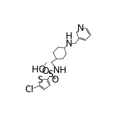 O=S(=O)(N[C@H](CO)C1CCC(NCc2cccnc2)CC1)c1ccc(Cl)s1